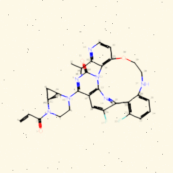 C=CC(=O)N1CCN(c2nc(=O)n3c4nc(c(F)cc24)-c2c(F)cccc2NCCOc2ccnc(C(C)C)c2-3)C2C[C@H]21